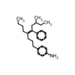 CCCCC(CCCc1ccc(N)cc1)=C(CC(C)CC)c1ccccc1